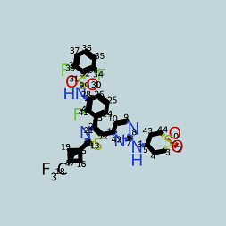 O=S1(=O)CCC(Nc2nccc(-c3sc(C45CC(C(F)(F)F)(C4)C5)nc3-c3cccc(NS(=O)(=O)c4c(F)cccc4F)c3F)n2)CC1